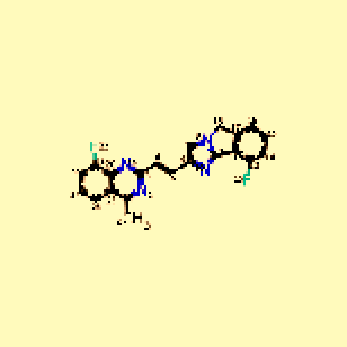 Cc1nc(C=Cc2cn3c(n2)-c2c(F)cccc2C3)nc2c(F)cccc12